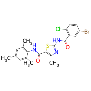 Cc1cc(C)c(NC(=O)c2sc(NC(=O)c3cc(Br)ccc3Cl)nc2C)c(C)c1